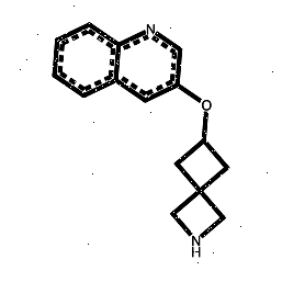 c1ccc2ncc(OC3CC4(CNC4)C3)cc2c1